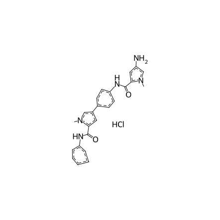 Cl.Cn1cc(N)cc1C(=O)Nc1ccc(-c2cc(C(=O)Nc3ccccc3)n(C)c2)cc1